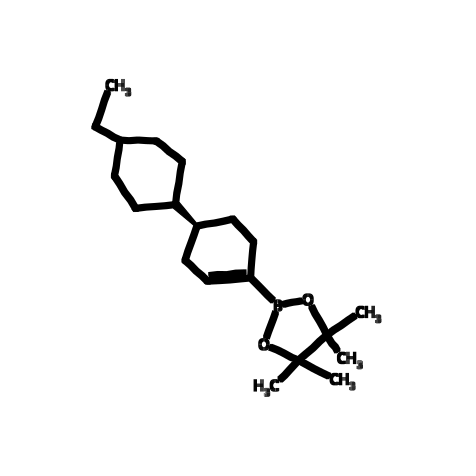 CCC1CCC([C@@H]2CC=C(B3OC(C)(C)C(C)(C)O3)CC2)CC1